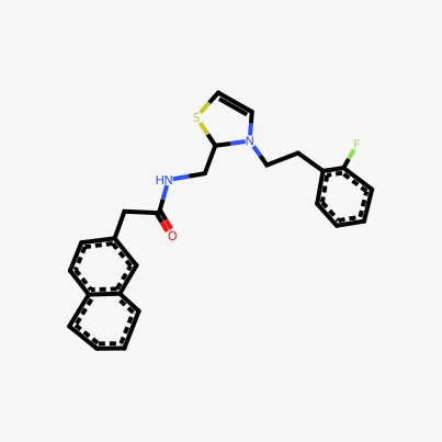 O=C(Cc1ccc2ccccc2c1)NCC1SC=CN1CCc1ccccc1F